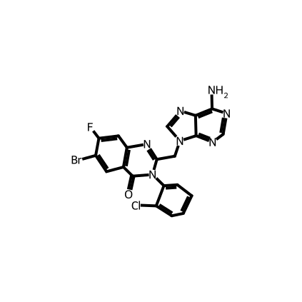 Nc1ncnc2c1ncn2Cc1nc2cc(F)c(Br)cc2c(=O)n1-c1ccccc1Cl